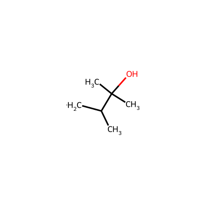 [CH2]C(C)C(C)(C)O